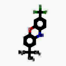 CC(C)(C)c1ccc2c(c1)Nc1ccc(C(F)(F)F)cc1O2